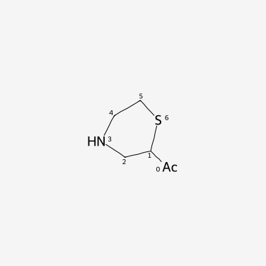 [CH2]C(=O)C1CNCCS1